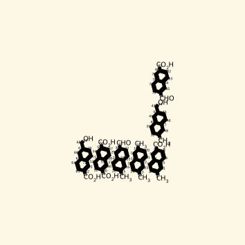 Cc1ccc2cc(C(=O)O)ccc2c1.Cc1ccc2cc(C)ccc2c1.Cc1ccc2cc(C=O)ccc2c1.Cc1ccc2cc(CO)ccc2c1.O=C(O)c1ccc2cc(C(=O)O)ccc2c1.O=C(O)c1ccc2cc(CO)ccc2c1.O=Cc1ccc2cc(C(=O)O)ccc2c1